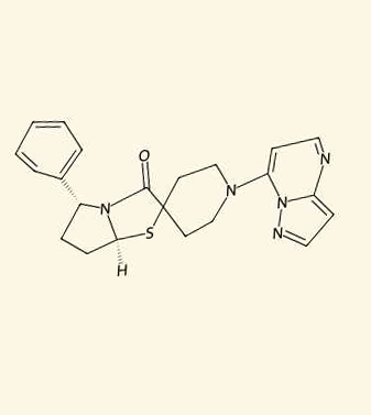 O=C1N2[C@H](CC[C@@H]2c2ccccc2)SC12CCN(c1ccnc3ccnn13)CC2